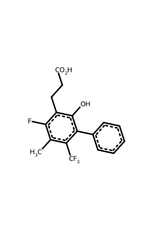 Cc1c(F)c(CCC(=O)O)c(O)c(-c2ccccc2)c1C(F)(F)F